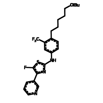 CC(C)COCCCCCc1ccc(Nc2nc(-c3cccnc3)c(F)s2)cc1C(F)(F)F